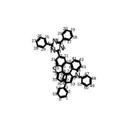 c1ccc(-c2ccc3c4c(-c5cc(-c6nc(-c7ccccc7)nc(-c7ccccc7)n6)cc6sc7ccccc7c56)cccc4n(-c4ccccc4)c3c2)cc1